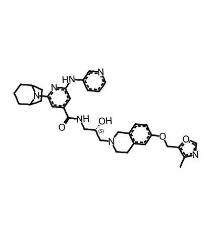 Cc1ncoc1COc1ccc2c(c1)CCN(C[C@@H](O)CNC(=O)c1cc(Nc3cccnc3)nc(N3C4CCCC3CC4)c1)C2